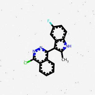 Cc1[nH]c2ccc(F)cc2c1-c1nnc(Cl)c2ccccc12